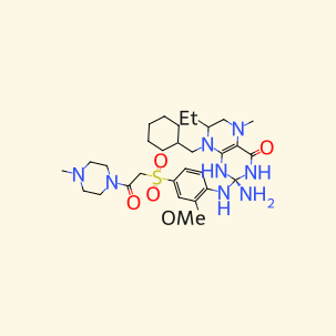 CCC1CN(C)C2=C(N[C@@](N)(Nc3ccc(S(=O)(=O)CC(=O)N4CCN(C)CC4)cc3OC)NC2=O)N1CC1CCCCC1